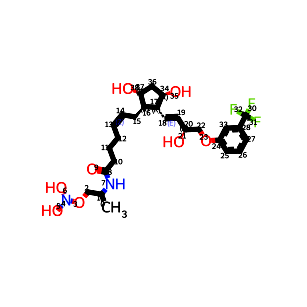 CC(CON(O)O)NC(=O)CCC/C=C\C[C@@H]1[C@@H](/C=C/[C@@H](O)COc2cccc(C(F)(F)F)c2)[C@H](O)C[C@@H]1O